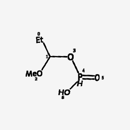 CCC(OC)O[PH](=O)O